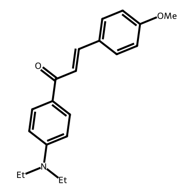 CCN(CC)c1ccc(C(=O)C=Cc2ccc(OC)cc2)cc1